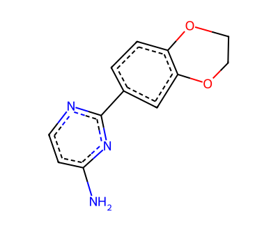 Nc1ccnc(-c2ccc3c(c2)OCCO3)n1